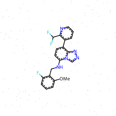 COc1cccc(F)c1CNc1ccc(-c2cccnc2C(F)F)c2nncn12